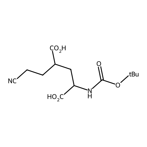 CC(C)(C)OC(=O)NC(CC(CCC#N)C(=O)O)C(=O)O